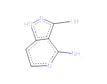 Cc1n[nH]c2ccnc(N)c12